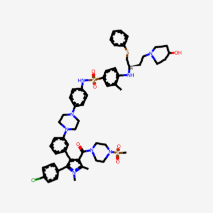 Cc1cc(S(=O)(=O)Nc2ccc(N3CCN(c4cccc(-c5c(C(=O)N6CCN(S(C)(=O)=O)CC6)c(C)n(C)c5-c5ccc(Cl)cc5)c4)CC3)cc2)ccc1N[C@H](CCN1CCC(O)CC1)CSc1ccccc1